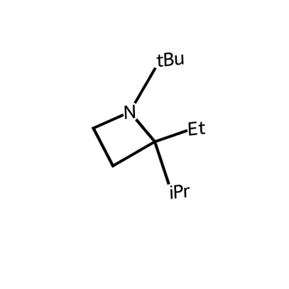 CCC1(C(C)C)CCN1C(C)(C)C